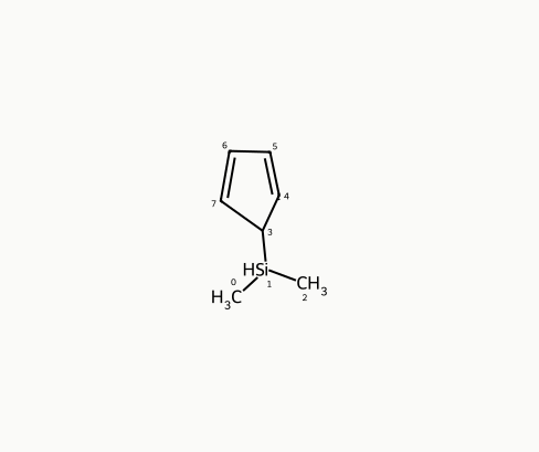 C[SiH](C)C1[C]=CC=C1